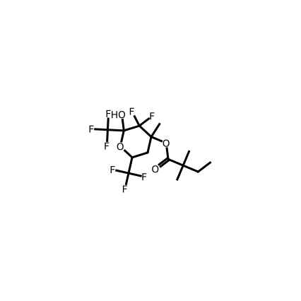 CCC(C)(C)C(=O)OC1(C)CC(C(F)(F)F)OC(O)(C(F)(F)F)C1(F)F